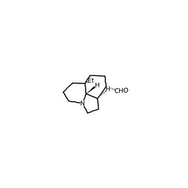 CC[C@@]12CCCN3CC[C@@H]([C@H]31)[C@@H](C=O)CC2